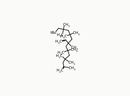 C=CC(C)(CC(C)(C)CC(C)(C)CC(=C)C)CC(C)(C)CC(C)(C)CC(C)(C)C